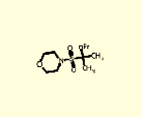 CCCC(C)(C)S(=O)(=O)N1CCOCC1